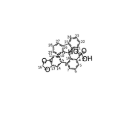 O=P(O)(O)c1cccc(-c2ccc3c(c2)OCO3)c1C1c2ccccc2-c2ccccc21